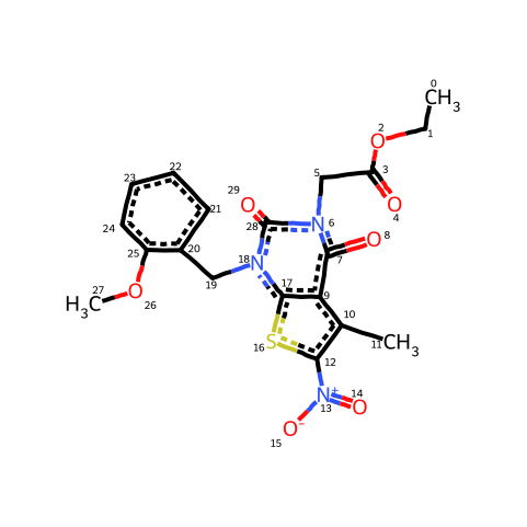 CCOC(=O)Cn1c(=O)c2c(C)c([N+](=O)[O-])sc2n(Cc2ccccc2OC)c1=O